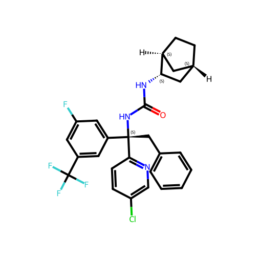 O=C(N[C@H]1C[C@H]2CC[C@H]1C2)N[C@@](Cc1ccccc1)(c1cc(F)cc(C(F)(F)F)c1)c1ccc(Cl)cn1